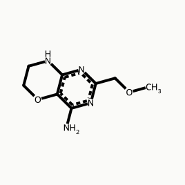 COCc1nc(N)c2c(n1)NCCO2